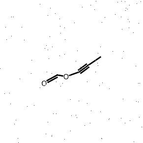 CC#COC=O